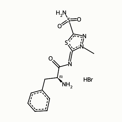 Br.Cn1nc(S(N)(=O)=O)sc1=NC(=O)[C@@H](N)Cc1ccccc1